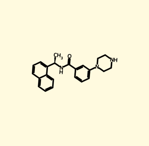 C[C@@H](NC(=O)c1cccc(N2CCNCC2)c1)c1cccc2ccccc12